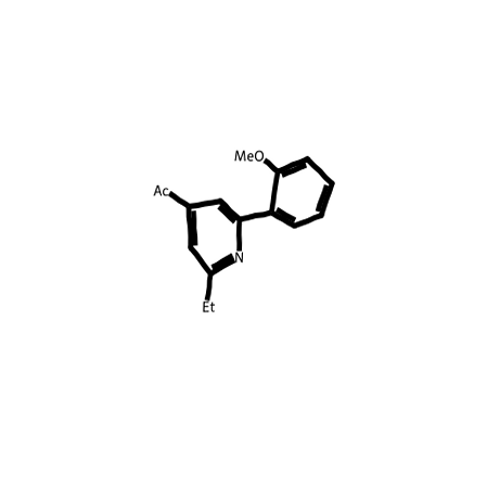 CCc1cc(C(C)=O)cc(-c2ccccc2OC)n1